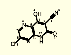 N#Cc1c(O)c2ncc(Cl)cc2[nH]c1=O